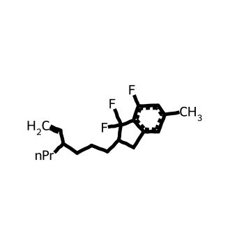 C=CC(CCC)CCCC1Cc2cc(C)cc(F)c2C1(F)F